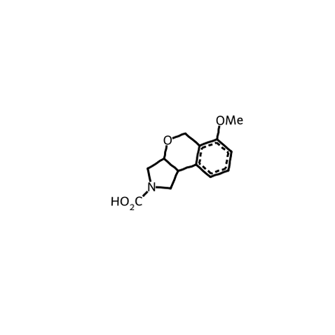 COc1cccc2c1COC1CN(C(=O)O)CC21